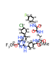 COC(=O)[C@H](CCNC(=O)C(=O)NCc1ccc(F)cc1)NC(=O)c1ccc(Nc2nc(NC3(c4ccc(Cl)cc4)CC3)nc(OCC(F)(F)F)n2)cc1